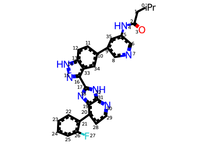 CC(C)CC(=O)Nc1cncc(-c2ccc3[nH]nc(-c4nc5c(-c6ccccc6F)ccnc5[nH]4)c3c2)c1